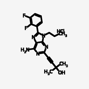 CCCn1c(-c2cccc(F)c2F)nc2c(N)nc(C#CC(C)(C)O)nc21.Cl